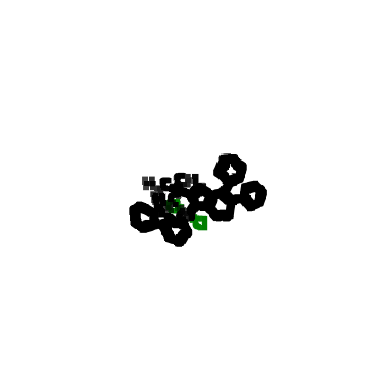 CC(C)(C)C1=Cc2c(ccc(-c3ccccc3)c2-c2ccccc2)[CH]1[Zr]([Cl])([Cl])[c]1cccc2c1[SiH2]c1ccccc1-2